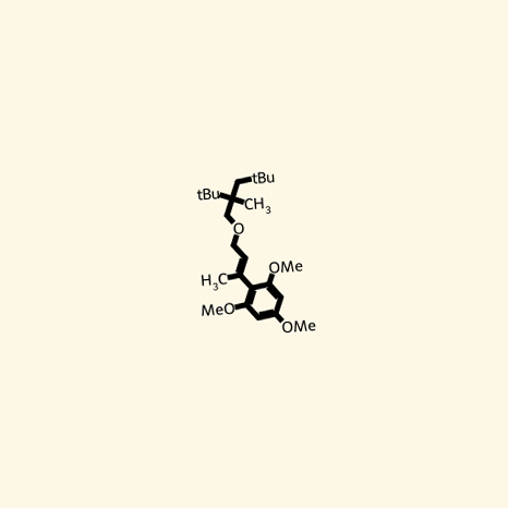 COc1cc(OC)c(/C(C)=C/COCC(C)(CC(C)(C)C)C(C)(C)C)c(OC)c1